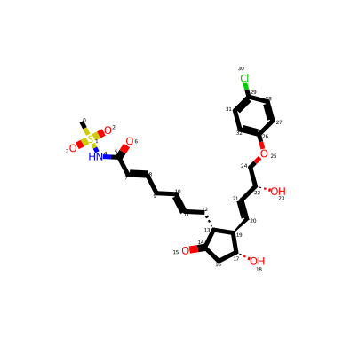 CS(=O)(=O)NC(=O)C=CCC=CC[C@H]1C(=O)C[C@@H](O)[C@@H]1C=C[C@@H](O)COc1ccc(Cl)cc1